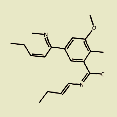 CC/C=C\C(=N/C)c1cc(OC)c(C)c(/C(Cl)=N\C=C\CC)c1